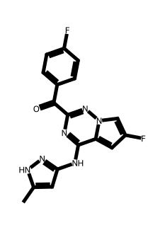 Cc1cc(Nc2nc(C(=O)c3ccc(F)cc3)nn3cc(F)cc23)n[nH]1